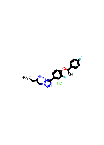 CC(Oc1ccc(-c2nnn(CC(N)CC(=O)O)n2)cc1F)c1ccc(F)cc1.Cl